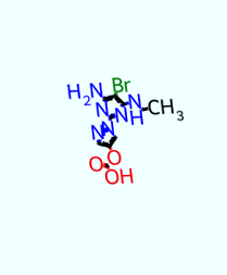 CCNc1nc(-n2cc(OC(=O)O)cn2)nc(N)c1Br